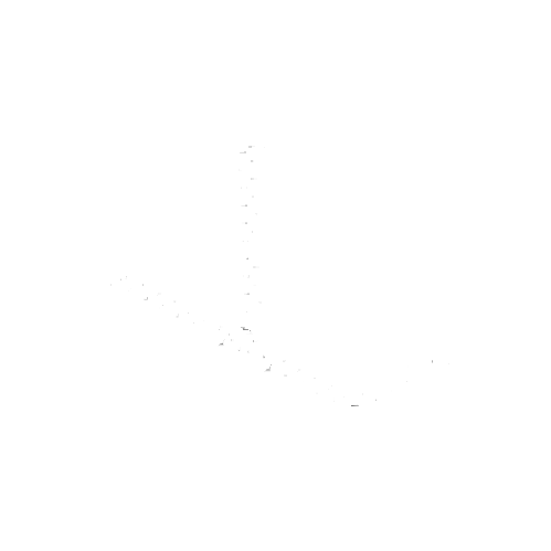 CCCCCCCCCC/C=C\CCCCCCCCCC(=O)OC[C@@H](COC(=O)CCCCCCCCCCCCCC)OC(=O)CCCCCCCCCCCCCCCCCCCCC